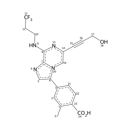 Cc1cc(-c2cnc3c(NCCC(F)(F)F)nc(C#CCO)cn23)ccc1C(=O)O